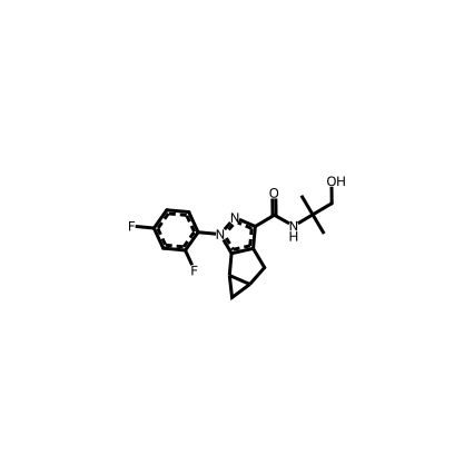 CC(C)(CO)NC(=O)c1nn(-c2ccc(F)cc2F)c2c1CC1CC21